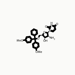 COc1ccc(C(OC[C@H]2O[C@@H](n3ccc(=O)[nH]c3=O)[C@H](N)[C@@H]2O)(c2ccccc2)c2ccc(OC)cc2)cc1